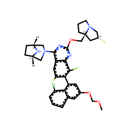 COCOc1cc(-c2c(F)cc3c(N4C[C@H]5CC[C@@H](C4)N5)nc(OC[C@@]45CCCN4C[C@H](F)C5)nc3c2F)c2c(Cl)cccc2c1